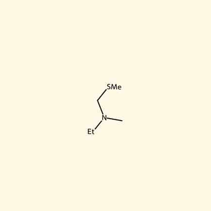 CCN(C)CSC